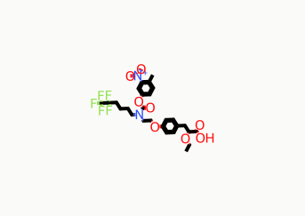 CCOC(Cc1ccc(OCCN(CCCCC(F)(F)C(F)(F)F)C(=O)Oc2ccc(C)c([N+](=O)[O-])c2)cc1)C(=O)O